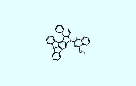 Cc1nc(-n2c3ccc4ccccc4c3c3c4c5ccccc5n5c6ccccc6c(cc32)c45)nc2cccnc12